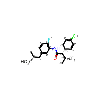 C[C@H](Cc1ccc(F)c(NC(=O)[C@H](C2C=CC(Cl)=CC2)[C@@H](C)C(F)(F)F)c1)C(=O)O